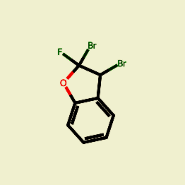 FC1(Br)Oc2ccccc2C1Br